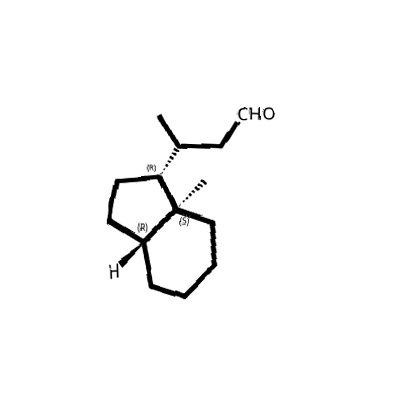 CC(CC=O)[C@H]1CC[C@H]2CCCC[C@@]21C